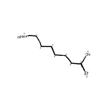 [CH2]CCCCCCCCCCCC(O)CC